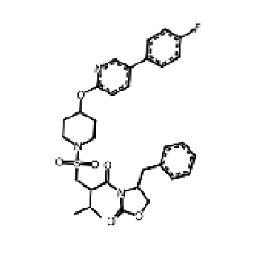 CC(C)C(CS(=O)(=O)N1CCC(Oc2ccc(-c3ccc(F)cc3)cn2)CC1)C(=O)N1C(=O)OCC1Cc1ccccc1